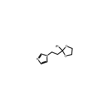 CC(C)C1(CCn2ccnc2)OCCO1